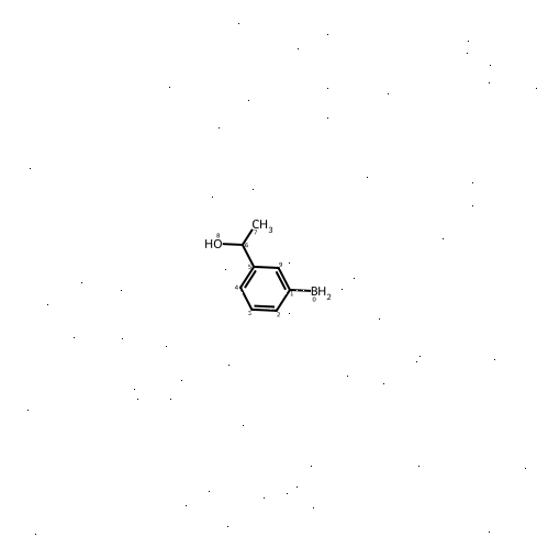 Bc1cccc(C(C)O)c1